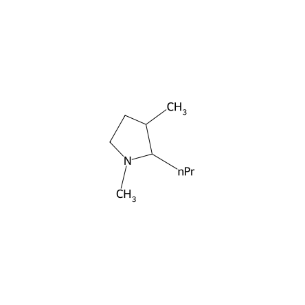 CCCC1C(C)CCN1C